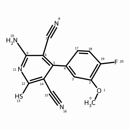 COc1cc(-c2c(C#N)c(N)nc(S)c2C#N)ccc1F